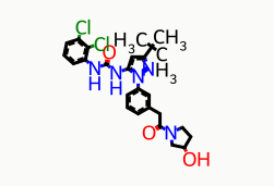 CC(C)(C)c1cc(NC(=O)Nc2cccc(Cl)c2Cl)n(-c2cccc(CC(=O)N3CCC(O)C3)c2)n1